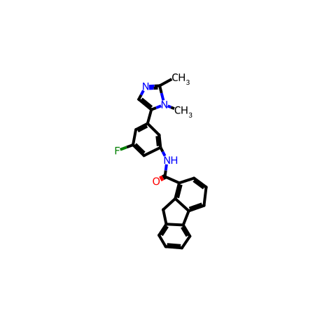 Cc1ncc(-c2cc(F)cc(NC(=O)c3cccc4c3Cc3ccccc3-4)c2)n1C